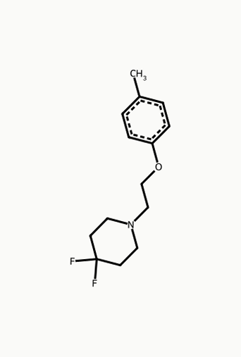 Cc1ccc(OCCN2CCC(F)(F)CC2)cc1